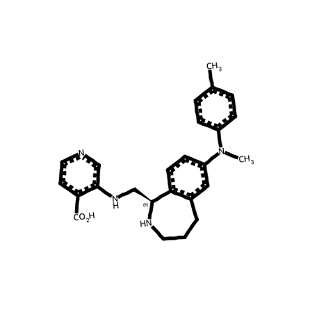 Cc1ccc(N(C)c2ccc3c(c2)CCCN[C@H]3CNc2cnccc2C(=O)O)cc1